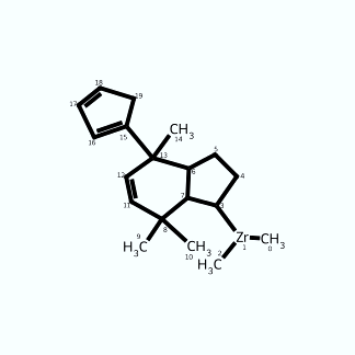 [CH3][Zr]([CH3])[CH]1CCC2C1C(C)(C)C=CC2(C)C1=CC=CC1